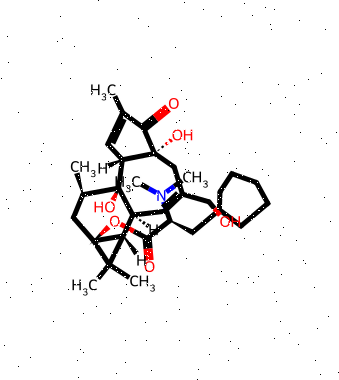 CC1=C[C@H]2[C@@]3(O)[C@H](C)C[C@]4(OC(=O)[C@H](CC5CCCCC5)N(C)C)[C@H]([C@@H]3C=C(CO)C[C@]2(O)C1=O)C4(C)C